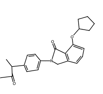 CC(C(=O)O)c1ccc(N2Cc3cccc(OC4CCCC4)c3C2=O)cc1